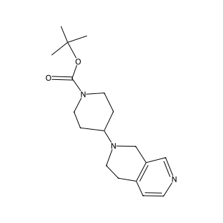 CC(C)(C)OC(=O)N1CCC(N2CCc3ccncc3C2)CC1